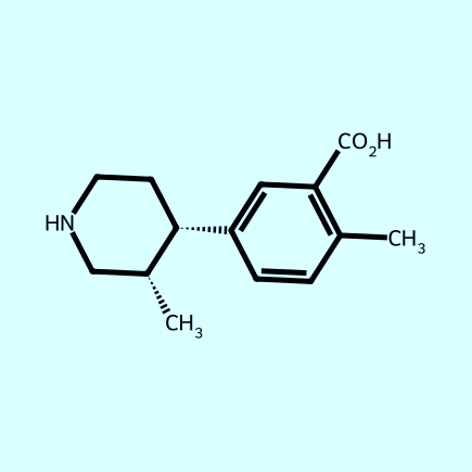 Cc1ccc([C@H]2CCNC[C@H]2C)cc1C(=O)O